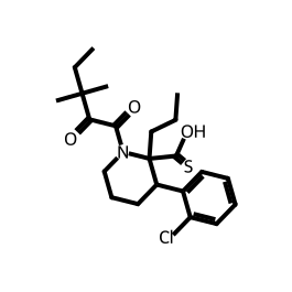 CCCC1(C(O)=S)C(c2ccccc2Cl)CCCN1C(=O)C(=O)C(C)(C)CC